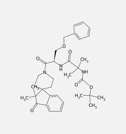 CC(C)(C)OC(=O)NC(C)(C)C(=O)N[C@H](COCc1ccccc1)C(=O)N1CCC2(CC1)c1ccccc1C(=O)C2(C)C